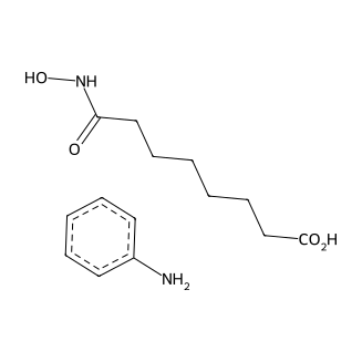 Nc1ccccc1.O=C(O)CCCCCCC(=O)NO